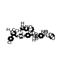 CC1(C)CC(CN2CCN(c3ccc(C(=O)NS(=O)(=O)c4ccc(NC[C@H]5COCCO5)c([N+](=O)[O-])c4)c(N4CCCOc5nc6[nH]ccc6cc54)c3)CC2)=C(c2ccc(Cl)cc2)CO1